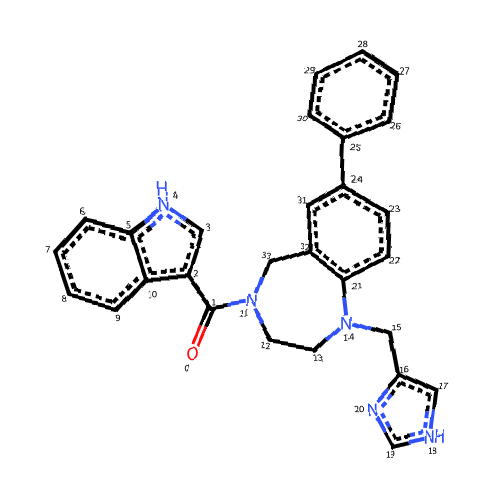 O=C(c1c[nH]c2ccccc12)N1CCN(Cc2c[nH]cn2)c2ccc(-c3ccccc3)cc2C1